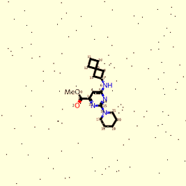 COC(=O)c1cc(NC2CC3(CCC3)C2)nc(N2CCCCC2)n1